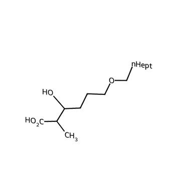 CCCCCCCCOCCCC(O)C(C)C(=O)O